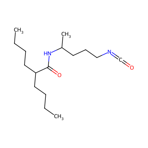 CCCCC(CCCC)C(=O)NC(C)CCCN=C=O